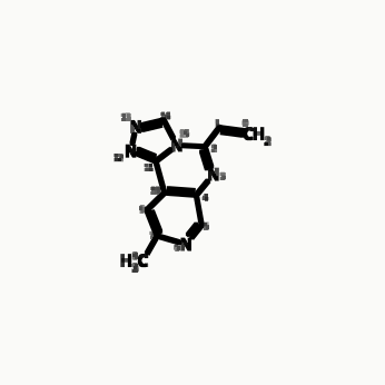 C=Cc1nc2cnc(C)cc2c2nncn12